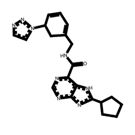 O=C(NCC1=CC=CC(n2ccnn2)C1)c1ncnc2nc(C3CCCC3)[nH]c12